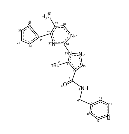 CCCCc1c(C(=O)NCc2ccncc2)cnn1-c1ncc(C)c(-c2cccs2)n1